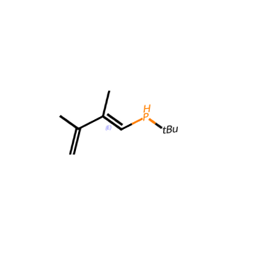 C=C(C)/C(C)=C/PC(C)(C)C